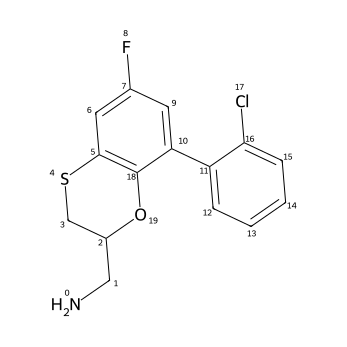 NCC1CSc2cc(F)cc(-c3ccccc3Cl)c2O1